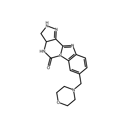 O=C1NC2CNN=C2c2nc3ccc(CN4CCOCC4)cc3n21